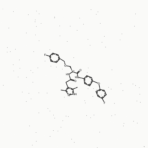 Cc1n[nH]c(C)c1CC(=O)N[C@@H](COCc1ccc(F)cc1)C(=O)Nc1ccc(Oc2ccc(F)cc2)cc1